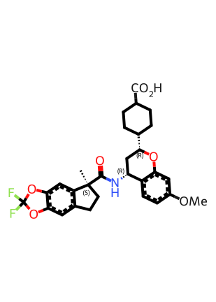 COc1ccc2c(c1)O[C@@H](C1CCC(C(=O)O)CC1)C[C@H]2NC(=O)[C@@]1(C)CCc2cc3c(cc21)OC(F)(F)O3